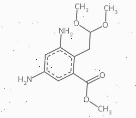 COC(=O)c1cc(N)cc(N)c1CC(OC)OC